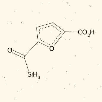 O=C(O)c1ccc(C(=O)[SiH3])o1